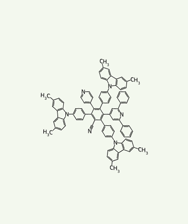 Cc1ccc2c(c1)c1cc(C)ccc1n2-c1ccc(-c2c(C#N)c(-c3ccc(-n4c5ccc(C)cc5c5cc(C)ccc54)cc3)c(-c3cc(-c4ccccc4)nc(-c4ccccc4)c3)c(-c3ccc(-n4c5ccc(C)cc5c5cc(C)ccc54)cc3)c2-c2ccncc2)cc1